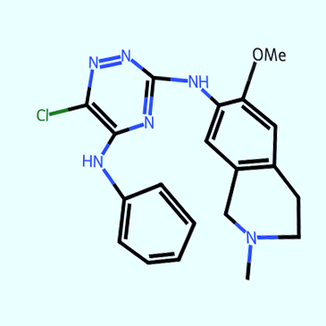 COc1cc2c(cc1Nc1nnc(Cl)c(Nc3ccccc3)n1)CN(C)CC2